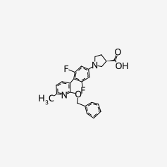 Cc1ccc(-c2c(F)cc(N3CC[C@@H](C(=O)O)C3)cc2F)c(OCc2ccccc2)n1